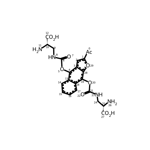 CC(=O)c1cc2c(OC(=O)NC[C@H](N)C(=O)O)c3ccccc3c(OC(=O)NC[C@H](N)C(=O)O)c2o1